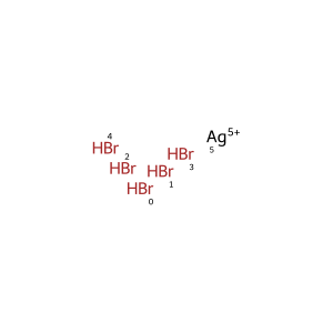 Br.Br.Br.Br.Br.[Ag+5]